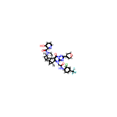 O=C(Cn1c2c(c(=O)n3nc(C4=CCOCC4)nc13)[C@]1(CCN(C(=O)c3ncccc3O)[C@H]3CC[C@H]31)[C@H]1C[C@@H]21)Nc1ccc(C(F)(F)F)cc1Cl